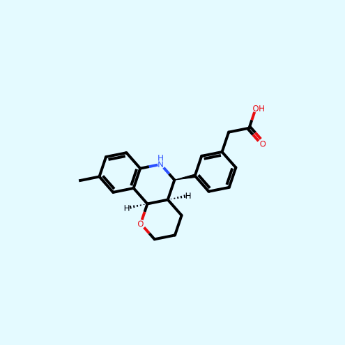 Cc1ccc2c(c1)[C@@H]1OCCC[C@@H]1[C@H](c1cccc(CC(=O)O)c1)N2